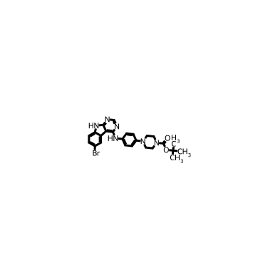 CC(C)(C)OC(=O)N1CCN(c2ccc(Nc3ncnc4[nH]c5ccc(Br)cc5c34)cc2)CC1